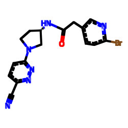 N#Cc1ccc(N2CC[C@H](NC(=O)Cc3ccc(Br)nc3)C2)nn1